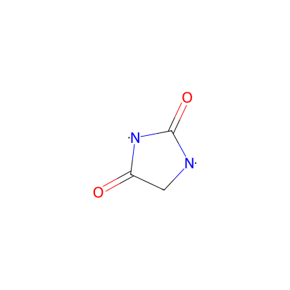 O=C1C[N]C(=O)[N]1